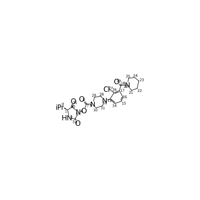 CC(C)[C@@H]1NC(=O)N(OC(=O)N2CCN(c3cccc(C(=O)N4CCCCC4)c3Cl)CC2)C1=O